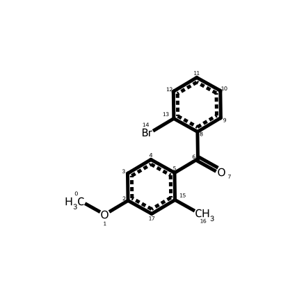 COc1ccc(C(=O)c2ccccc2Br)c(C)c1